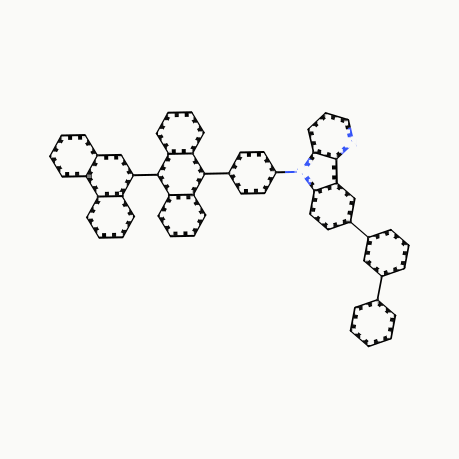 c1ccc(-c2cccc(-c3ccc4c(c3)c3ncccc3n4-c3ccc(-c4c5ccccc5c(-c5cc6ccccc6c6ccccc56)c5ccccc45)cc3)c2)cc1